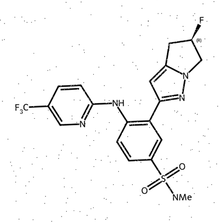 CNS(=O)(=O)c1ccc(Nc2ccc(C(F)(F)F)cn2)c(-c2cc3n(n2)C[C@H](F)C3)c1